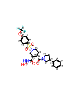 O=C(NO)[C@H]1CN(S(=O)(=O)c2ccc(OC(F)(F)F)cc2)CC[C@@H]1C(=O)N1CC[C@@H](c2ccccc2)C1